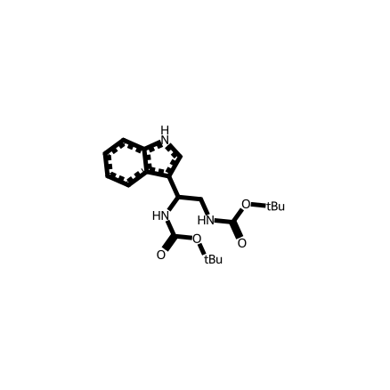 CC(C)(C)OC(=O)NCC(NC(=O)OC(C)(C)C)c1c[nH]c2ccccc12